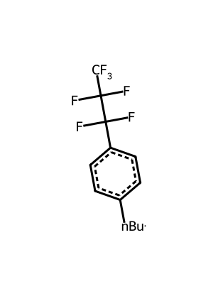 CCC[CH]c1ccc(C(F)(F)C(F)(F)C(F)(F)F)cc1